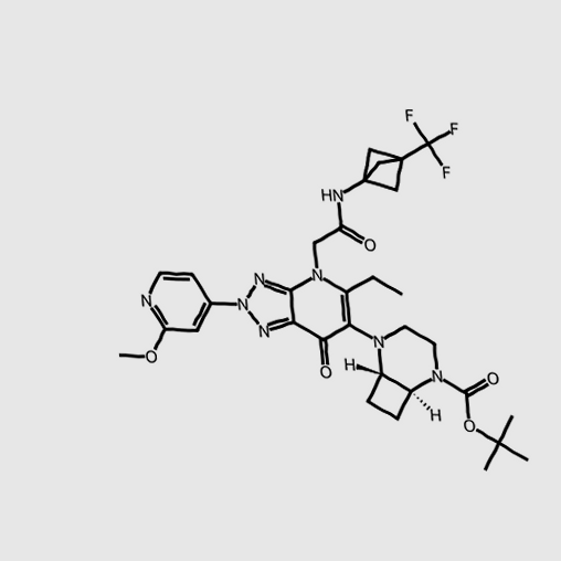 CCc1c(N2CCN(C(=O)OC(C)(C)C)[C@H]3CC[C@@H]32)c(=O)c2nn(-c3ccnc(OC)c3)nc2n1CC(=O)NC12CC(C(F)(F)F)(C1)C2